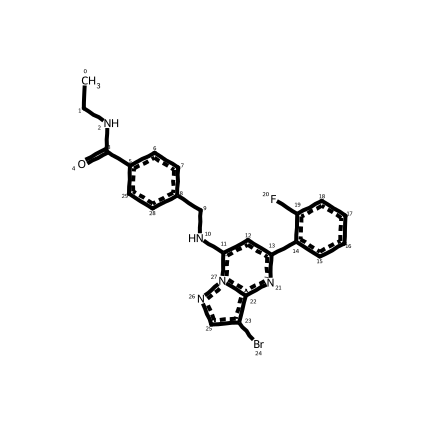 CCNC(=O)c1ccc(CNc2cc(-c3ccccc3F)nc3c(Br)cnn23)cc1